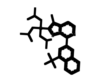 Cc1c([Si](CC(C)C)(CC(C)C)CC(C)C)sc2c(-c3cc(C(C)(C)C)c4ccccc4c3)nccc12